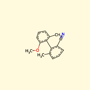 COc1cccc(C)c1-c1c(C)cccc1C#N